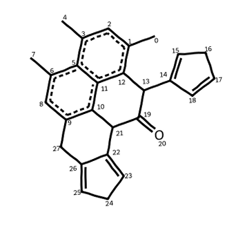 Cc1cc(C)c2c(C)cc3c4c2c1C(C1=CCC=C1)C(=O)C4C1=CCC=C1C3